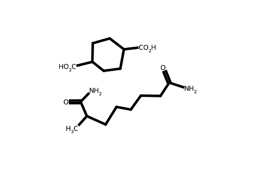 CC(CCCCCC(N)=O)C(N)=O.O=C(O)C1CCC(C(=O)O)CC1